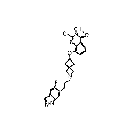 Cn1c(Cl)nc2c(OC3CC4(C3)CN(CCCc3cc5nncn5cc3F)C4)cccc2c1=O